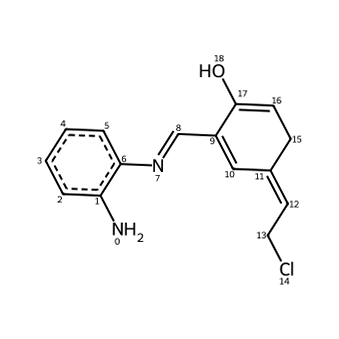 Nc1ccccc1N=CC1=CC(=CCCl)CC=C1O